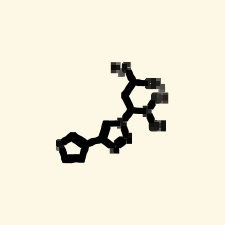 CC(C)CC(B(O)O)n1cc(-c2ccsc2)nn1